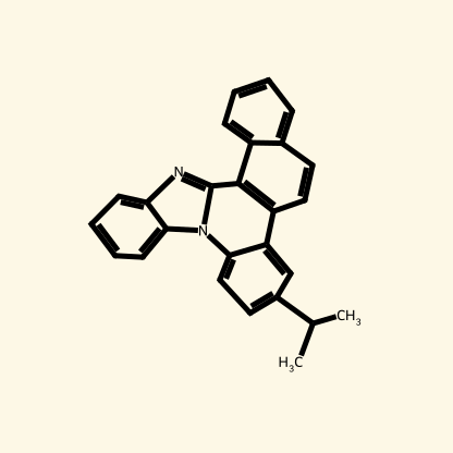 CC(C)c1ccc2c(c1)c1ccc3ccccc3c1c1nc3ccccc3n21